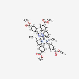 CCc1ccccc1C1(C2(c3ccccc3CC)N=C(c3ccc(C(=O)OC)cc3)C(c3ccc(C(=O)OC)cc3)=N2)N=C(c2ccc(C(=O)OC)cc2)C(c2ccc(C(=O)OC)cc2)=N1